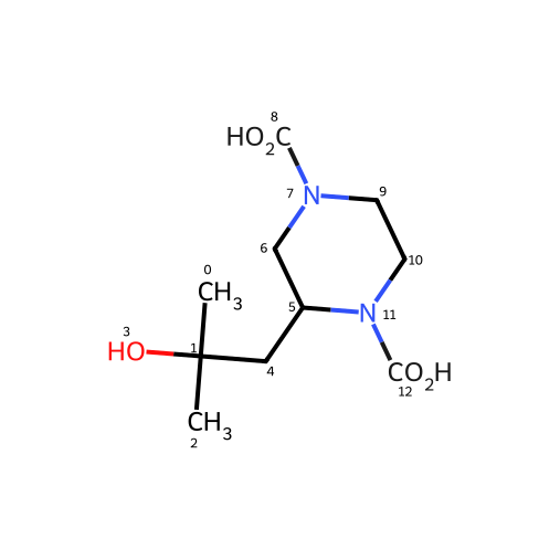 CC(C)(O)CC1CN(C(=O)O)CCN1C(=O)O